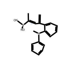 C=C(/C=C(\C)B(N=O)N=O)c1ccccc1N(C)c1ccccc1